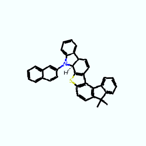 CC1(C)c2ccccc2-c2c1ccc1sc3c(c21)C=CC1c2ccccc2N(c2ccc4ccccc4c2)[C@H]31